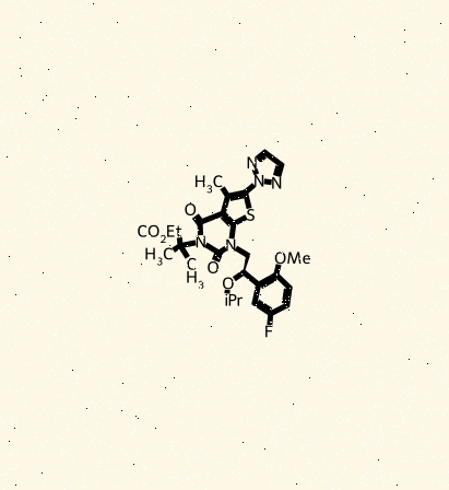 CCOC(=O)C(C)(C)n1c(=O)c2c(C)c(-n3nccn3)sc2n(C[C@H](OC(C)C)c2cc(F)ccc2OC)c1=O